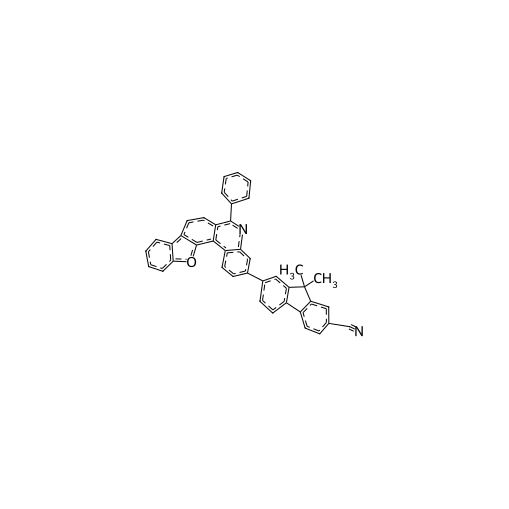 CC1(C)c2cc(C#N)ccc2-c2ccc(-c3ccc4c(c3)nc(-c3ccccc3)c3ccc5c6ccccc6oc5c34)cc21